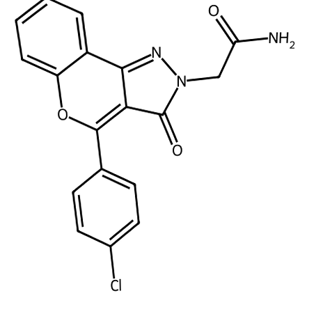 NC(=O)Cn1nc2c3ccccc3oc(-c3ccc(Cl)cc3)c-2c1=O